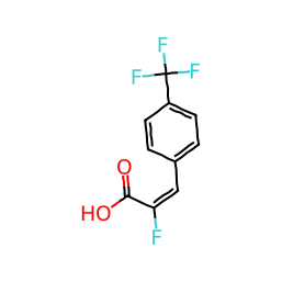 O=C(O)/C(F)=C\c1ccc(C(F)(F)F)cc1